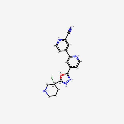 N#Cc1cc(-c2cc(-c3nnc([C@@]4(F)CCCNC4)o3)ccn2)ccn1